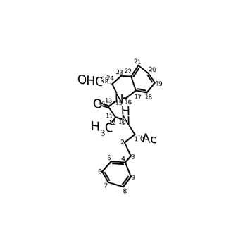 CC(=O)[C@H](CCc1ccccc1)N[C@@H](C)C(=O)N1Cc2ccccc2C[C@H]1C=O